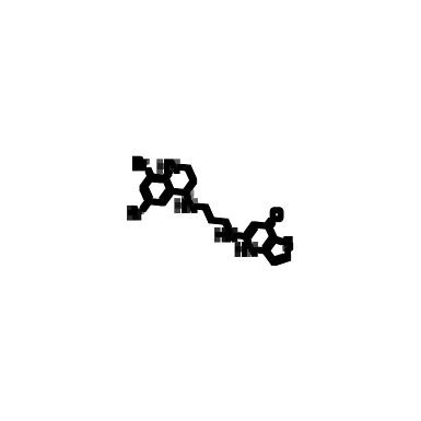 O=c1cc(NCCCN[C@@H]2CCNc3c(Br)cc(Br)cc32)[nH]c2ccsc12